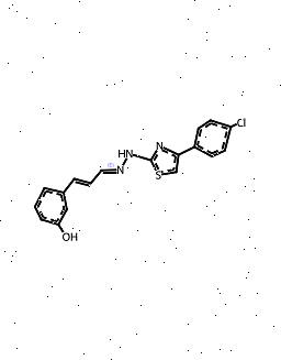 Oc1cccc(C=C/C=N/Nc2nc(-c3ccc(Cl)cc3)cs2)c1